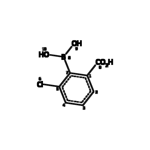 O=C(O)c1cccc(Cl)c1B(O)O